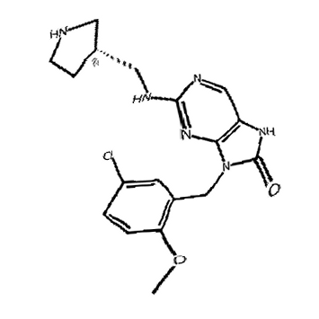 COc1ccc(Cl)cc1Cn1c(=O)[nH]c2cnc(NC[C@@H]3CCNC3)nc21